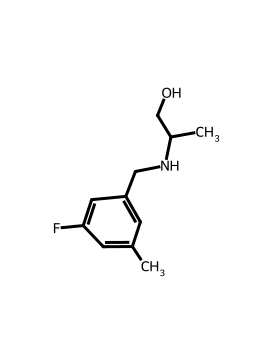 Cc1cc(F)cc(CNC(C)CO)c1